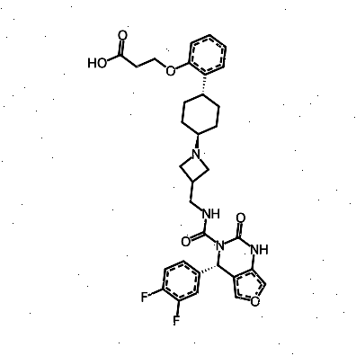 O=C(O)CCOc1ccccc1[C@H]1CC[C@H](N2CC(CNC(=O)N3C(=O)Nc4cocc4[C@@H]3c3ccc(F)c(F)c3)C2)CC1